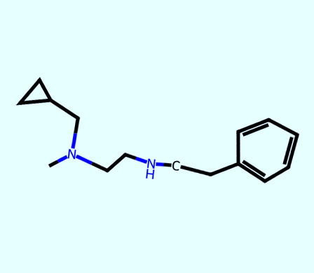 CN(CCNCCc1ccccc1)CC1CC1